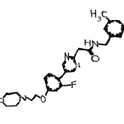 Cc1cccc(CNC(=O)Cc2ncc(-c3ccc(OCCN4CCOCC4)cc3F)cn2)c1